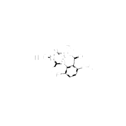 CC(=O)c1c(C)ccc(F)c1-n1nnn(C)c1=O